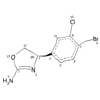 NC1=N[C@H](c2ccc(Br)c(Cl)c2)CO1